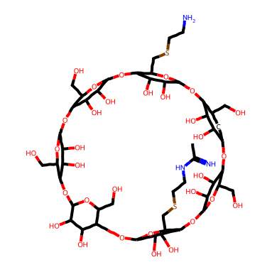 CC(=N)NCCSCC1OC2OC3C(CO)OC(OC4C(CO)OC(OC5C(CO)OC(OC6C(CSCCN)OC(OC7C(CO)CC(OC8C(CO)OC(OC1C(O)C2O)C(O)C8O)C(O)C7O)C(O)C6O)C(O)C5O)C(O)C4O)C(O)C3O